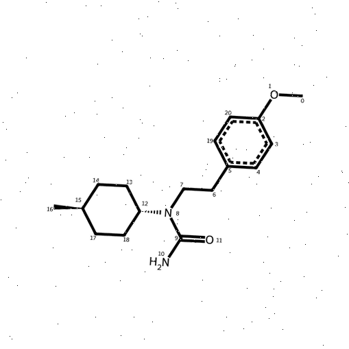 COc1ccc(CCN(C(N)=O)[C@H]2CC[C@H](C)CC2)cc1